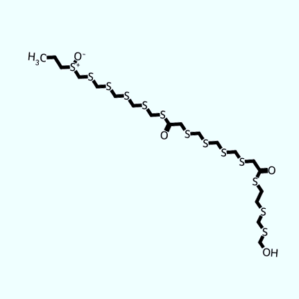 CCC[S+]([O-])CSCSCSCSCSC(=O)CSCSCSCSCC(=O)SCCSCSCO